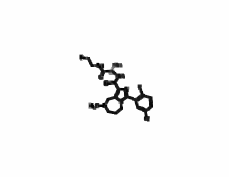 CN1CCCn2c(-c3cc(Cl)ccc3F)nc(C(=O)N[C@H](C(=O)NCCF)C(C)(C)C)c2C1